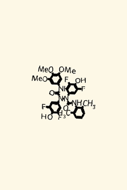 COc1cc(NC(=O)N(c2cc(F)c(O)c(F)c2)N(C(=O)Nc2c(C)cccc2C)c2cc(F)c(O)c(F)c2)cc(OC)c1OC